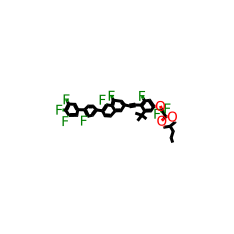 CCCC1COC(C(F)(F)Oc2cc(F)c(C#Cc3cc(F)c4c(F)c(-c5ccc(-c6cc(F)c(F)c(F)c6)c(F)c5)ccc4c3)c(C(C)(C)C)c2)OC1